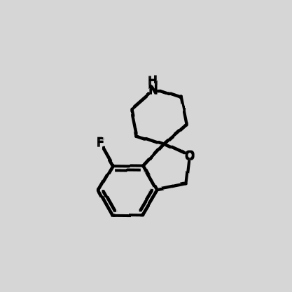 Fc1cccc2c1C1(CCNCC1)OC2